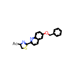 CC(=O)C1CSC(c2ccc3cc(OCc4ccccc4)ccc3n2)=N1